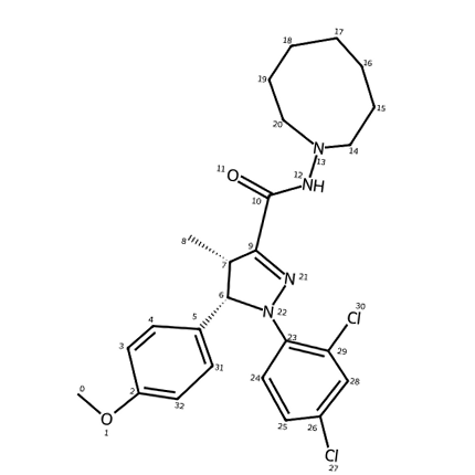 COc1ccc([C@@H]2[C@H](C)C(C(=O)NN3CCCCCCC3)=NN2c2ccc(Cl)cc2Cl)cc1